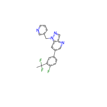 CC(F)(F)c1cc(-c2cnc3cnn(Cc4cccnc4)c3c2)ccc1F